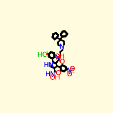 Cl.O=C(NO)C1=CNC(c2ccccc2)=C(C(=O)N(O)CCCN2CCC(c3ccccc3)(c3ccccc3)CC2)C1c1ccc([N+](=O)[O-])cc1